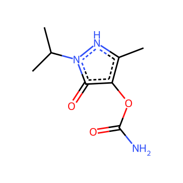 Cc1[nH]n(C(C)C)c(=O)c1OC(N)=O